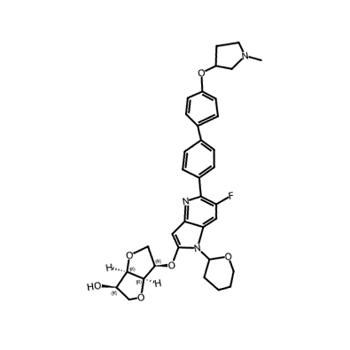 CN1CCC(Oc2ccc(-c3ccc(-c4nc5cc(O[C@@H]6CO[C@H]7[C@@H]6OC[C@H]7O)n(C6CCCCO6)c5cc4F)cc3)cc2)C1